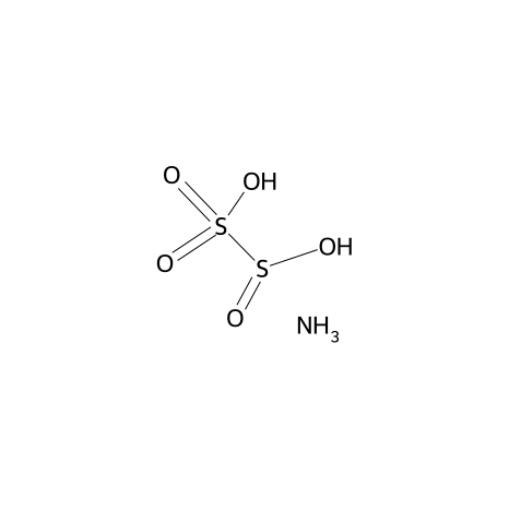 N.O=S(O)S(=O)(=O)O